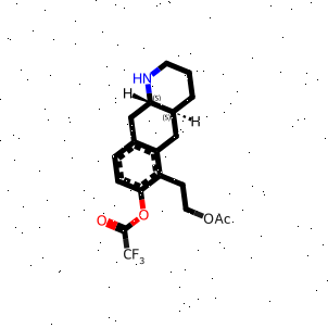 CC(=O)OCCc1c(OC(=O)C(F)(F)F)ccc2c1C[C@@H]1CCCN[C@H]1C2